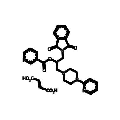 O=C(O)C=CC(=O)O.O=C(OC(CN1CCN(c2ccccn2)CC1)CN1C(=O)c2ccccc2C1=O)c1cccnc1